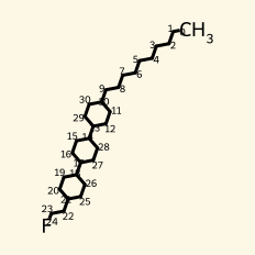 CCCCCCCCCCC1CCC(C2CCC(C3CCC(CCF)CC3)CC2)CC1